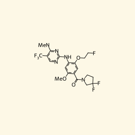 CNc1nc(Nc2cc(OC)c(C(=O)N3CCC(F)(F)C3)cc2OCCF)ncc1C(F)(F)F